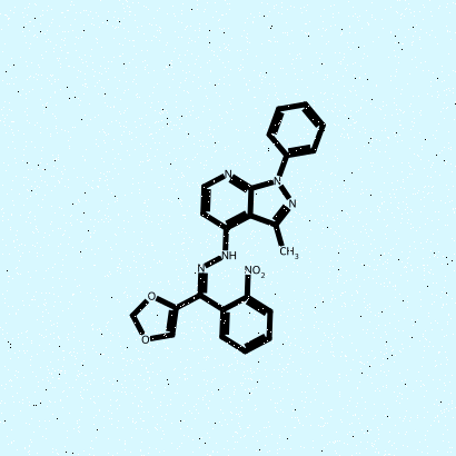 Cc1nn(-c2ccccc2)c2nccc(NN=C(C3=COCO3)c3ccccc3[N+](=O)[O-])c12